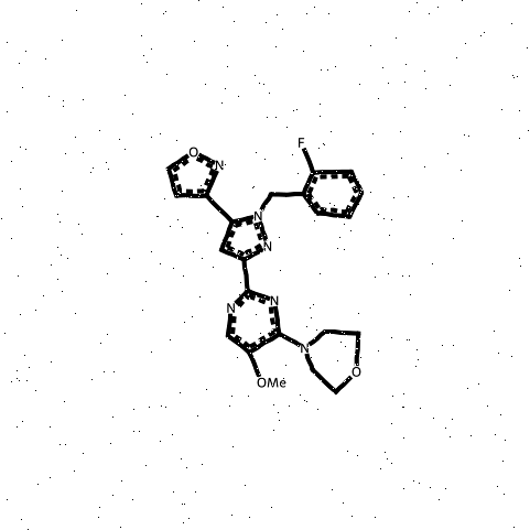 COc1cnc(-c2cc(-c3ccon3)n(Cc3ccccc3F)n2)nc1N1CCOCC1